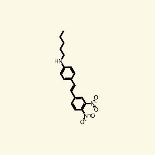 CCCCCNc1ccc(C=Cc2ccc([N+](=O)[O-])c([N+](=O)[O-])c2)cc1